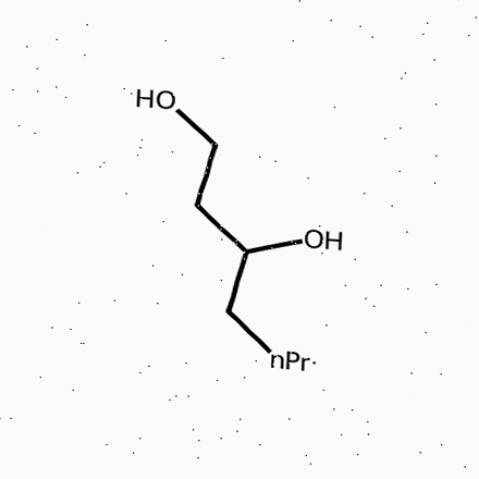 CC[CH]CC(O)CCO